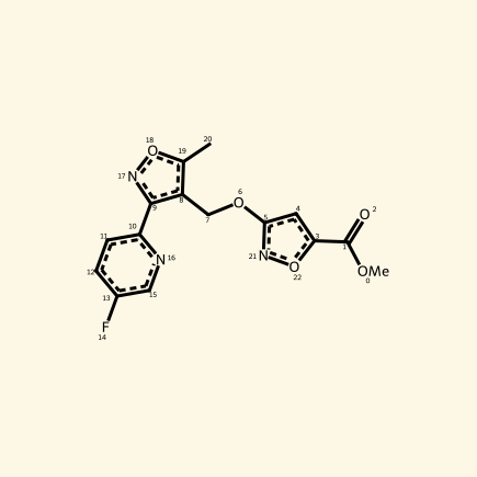 COC(=O)c1cc(OCc2c(-c3ccc(F)cn3)noc2C)no1